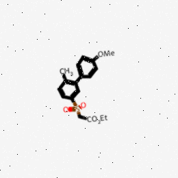 CCOC(=O)CS(=O)(=O)c1ccc(C)c(-c2ccc(OC)cc2)c1